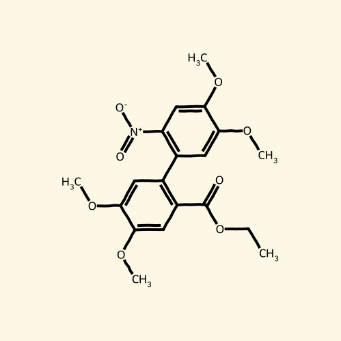 CCOC(=O)c1cc(OC)c(OC)cc1-c1cc(OC)c(OC)cc1[N+](=O)[O-]